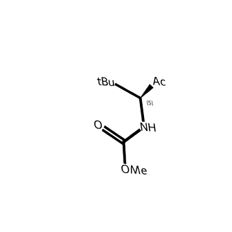 COC(=O)N[C@H](C(C)=O)C(C)(C)C